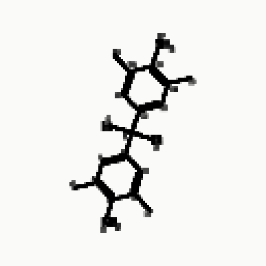 CCC(CC)(c1cc(C)c(N)c(C)c1)c1cc(C)c(N)c(C)c1